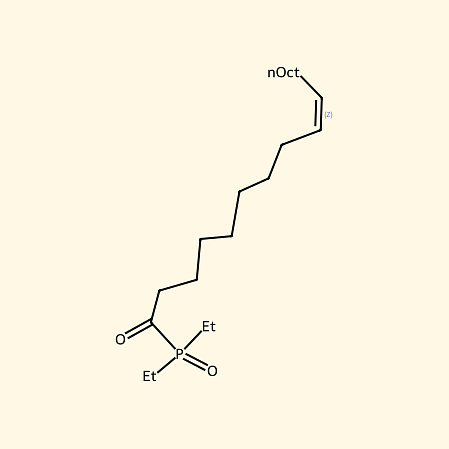 CCCCCCCC/C=C\CCCCCCCC(=O)P(=O)(CC)CC